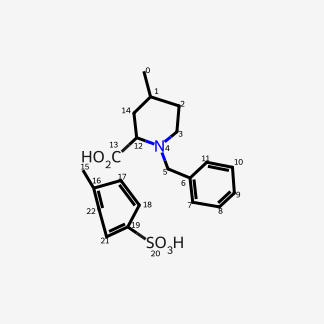 CC1CCN(Cc2ccccc2)C(C(=O)O)C1.Cc1ccc(S(=O)(=O)O)cc1